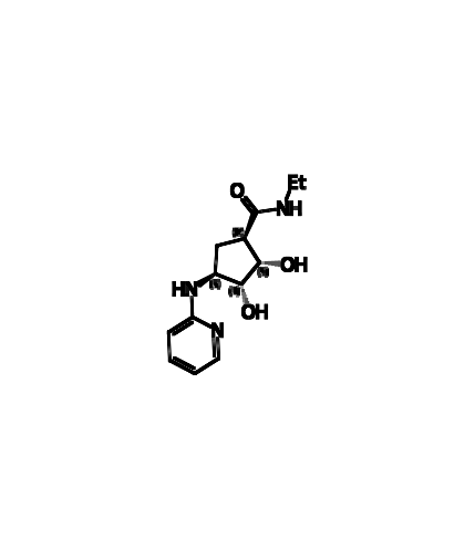 CCNC(=O)[C@@H]1C[C@H](Nc2ccccn2)[C@@H](O)[C@H]1O